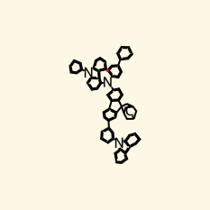 c1ccc(-c2ccc(N(c3ccc4c(c3)-c3ccc(-c5cccc(-n6c7ccccc7c7ccccc76)c5)cc3C43C4CC5CC(C4)C3C5)c3cccc4c3c3ccccc3n4-c3ccccc3)cc2)cc1